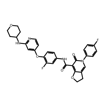 O=C(Nc1ccc(Oc2ccnc(NC3CCOCC3)c2)c(F)c1)c1c2c(cn(-c3ccc(F)cc3)c1=O)CCO2